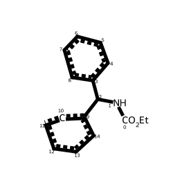 CCOC(=O)NC(c1ccccc1)c1ccccc1